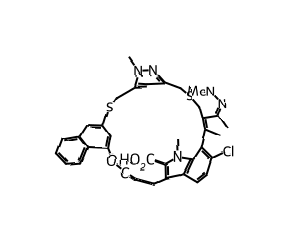 CN/N=C(C)\C1=C(/C)c2c(Cl)ccc3c(c(C(=O)O)n(C)c23)CCCOc2cc(cc3ccccc23)SCc2cc(nn2C)CSC1